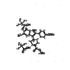 COc1ccc(-c2[nH]c3ncc(Br)cc3c2N2CCN(C(=O)OC(C)(C)C)CC2)cc1.O=C(O)C(F)(F)F.O=C(O)C(F)(F)F